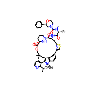 CCn1c(-c2cccnc2[C@H](C)OC)c2c3cc(ccc31)-c1csc(n1)C[C@H](NC(=O)[C@H](C(C)C)N(C)C(=O)N1CCO[C@H](c3ccccc3)C1)C(=O)N1CCC[C@@](O)(N1)C(=O)OCC(C)(C)C2